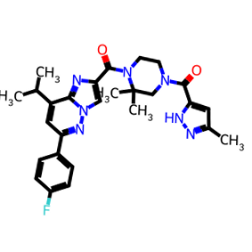 Cc1cc(C(=O)N2CCN(C(=O)c3cn4nc(-c5ccc(F)cc5)cc(C(C)C)c4n3)C(C)(C)C2)[nH]n1